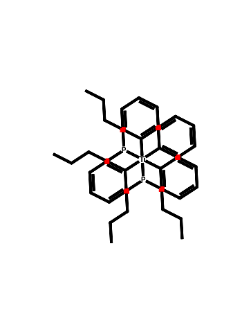 CCCC[P](CCCC)[Ti]([c]1ccccc1)([c]1ccccc1)([c]1ccccc1)([c]1ccccc1)[P](CCCC)CCCC